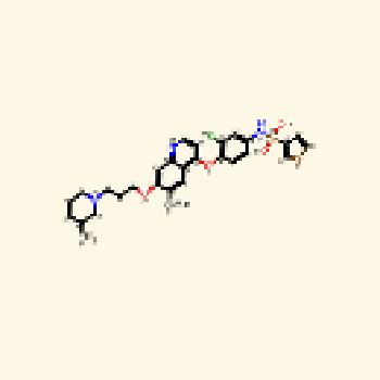 COc1cc2c(Oc3ccc(NS(=O)(=O)c4ccsc4)cc3F)ccnc2cc1OCCCN1CCCC(C)C1